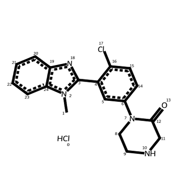 Cl.Cn1c(-c2cc(N3CCNCC3=O)ccc2Cl)nc2ccccc21